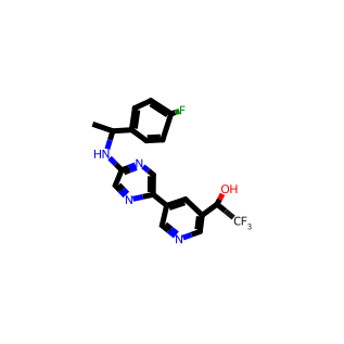 CC(Nc1cnc(-c2cncc(C(O)C(F)(F)F)c2)cn1)c1ccc(F)cc1